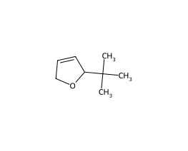 CC(C)(C)C1C=CCO1